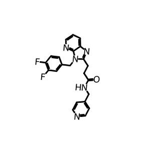 O=C(CCc1nc2cccnc2n1Cc1ccc(F)c(F)c1)NCc1ccncc1